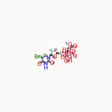 COP(=O)(O)OP(=O)(O)OP(=O)(O)OC[C@@H]1CC[C@H](n2cc(Br)c(=O)[nH]c2=O)O1